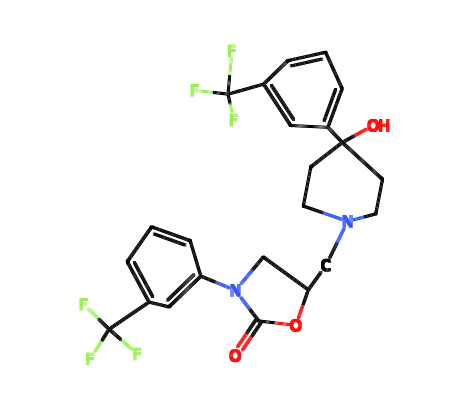 O=C1OC(CN2CCC(O)(c3cccc(C(F)(F)F)c3)CC2)CN1c1cccc(C(F)(F)F)c1